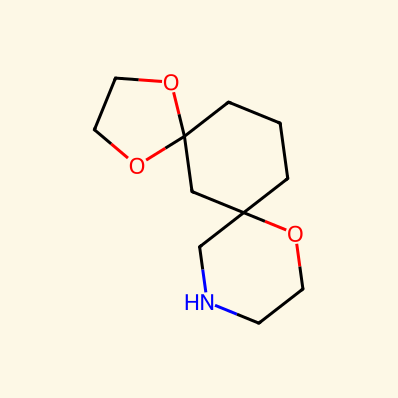 C1CC2(CNCCO2)CC2(C1)OCCO2